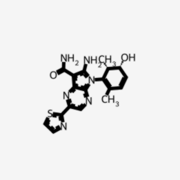 CC1=C(n2c(N)c(C(N)=O)c3nc(-c4nccs4)cnc32)[C@H](C)[C@H](O)C=C1